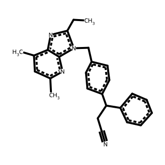 CCc1nc2c(C)cc(C)nc2n1Cc1ccc(C(CC#N)c2ccccc2)cc1